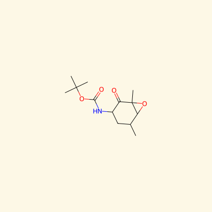 CC1CC(NC(=O)OC(C)(C)C)C(=O)C2(C)OC12